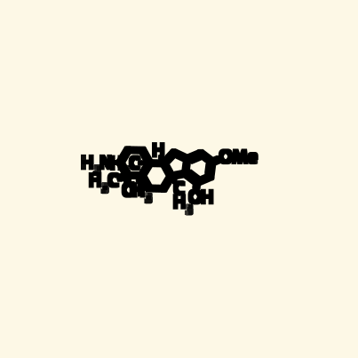 COc1cc(O)c2c(c1)C[C@H]1[C@]3(C)CC[C@@H](N)C(C)(C)[C@H]3CC[C@]21C